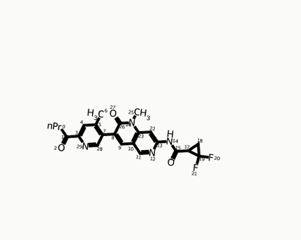 CCCC(=O)c1cc(C)c(-c2cc3cnc(NC(=O)C4CC4(F)F)cc3n(C)c2=O)cn1